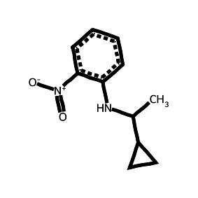 CC(Nc1ccccc1[N+](=O)[O-])C1CC1